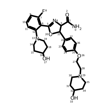 NC(=O)C1N=C(c2c(F)cccc2N2CCC(O)CC2)OC1c1ccc(OCCN2CCC(O)CC2)cc1